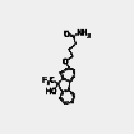 NC(=O)CCCOc1ccc2c(c1)C(O)(C(F)(F)F)c1ccccc1-2